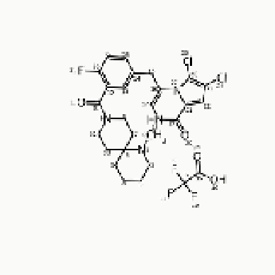 CN1CCCCC12CCN(C(=O)c1cc(Cc3c[nH]c(=O)c4cc(Cl)c(Cl)n34)ccc1F)CC2.O=C(O)C(F)(F)F